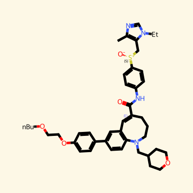 CCCCOCCOc1ccc(-c2ccc3c(c2)/C=C(/C(=O)Nc2ccc([S@+]([O-])Cc4c(C)ncn4CC)cc2)CCCN3CC2CCOCC2)cc1